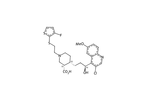 COc1ccc2ncc(Cl)c([C@@H](O)CC[C@H]3CCN(CCSc4sccc4F)C[C@H]3C(=O)O)c2c1